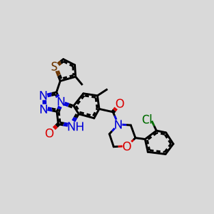 Cc1cc2c(cc1C(=O)N1CCOC(c3ccccc3Cl)C1)[nH]c(=O)c1nnc(-c3sccc3C)n12